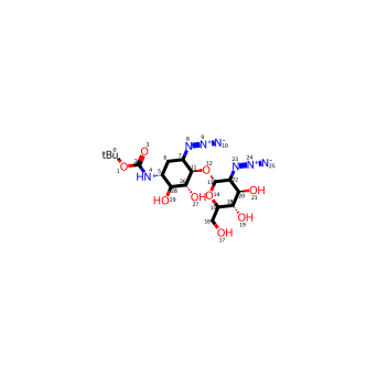 CC(C)(C)OC(=O)N[C@@H]1CC(N=[N+]=[N-])[C@@H](O[C@H]2OC(CO)[C@@H](O)[C@H](O)C2N=[N+]=[N-])[C@H](O)C1O